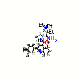 CCC(CN(CC)CC)C(N)[C@H]1CCCN1C(=O)c1cc(-c2ccc(F)c(F)c2)nc2ccccc12